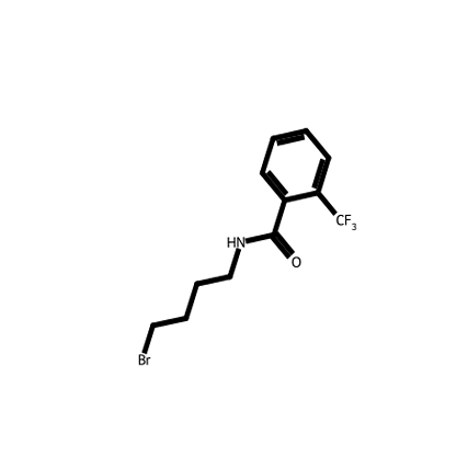 O=C(NCCCCBr)c1ccccc1C(F)(F)F